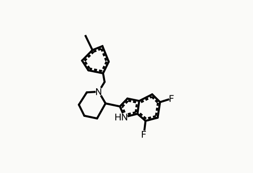 Cc1ccc(CN2CCCCC2c2cc3cc(F)cc(F)c3[nH]2)cc1